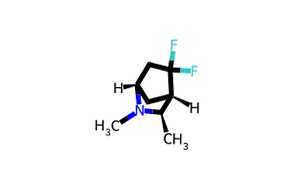 C[C@@H]1[C@@H]2C[C@@H](CC2(F)F)N1C